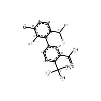 CC(C)(O)c1ncc(-c2c(C(F)F)ccc(Cl)c2F)nc1C(=O)O